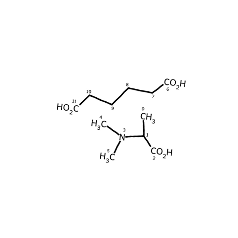 CC(C(=O)O)N(C)C.O=C(O)CCCCC(=O)O